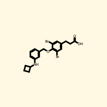 O=C(O)CCc1cc(Br)c(OCc2cccc(NC3CCC3)c2)c(Br)c1